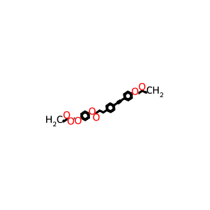 C=CC(=O)COc1ccc(C#Cc2ccc(CCC(=O)Oc3ccc(OCOC(=O)C=C)cc3)cc2)cc1